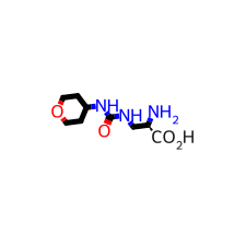 N[C@@H](CNC(=O)NC1CCOCC1)C(=O)O